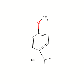 CC(C)(C#N)c1ccc(OC(F)(F)F)cc1